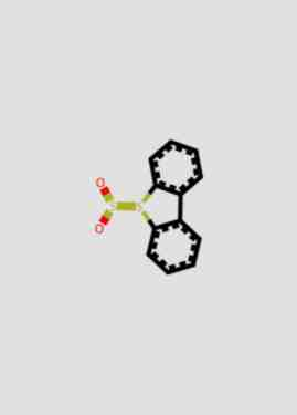 O=S(=O)=S1c2ccccc2-c2ccccc21